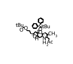 CC(=O)CC(N)[C@H](C)C[C@H]1CC[C@@H]2O[C@@H](CCCOC(=O)C(C)(C)C)C[C@]2(CO[Si](c2ccccc2)(c2ccccc2)C(C)(C)C)O1